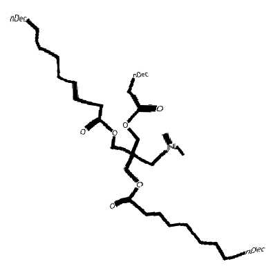 CCCCCCCCCCCCCCCCCC(=O)OCC(COC(=O)CCCCCCCCCCC)(COC(=O)CCCCCCCCCCCCCCCCC)CN(C)C